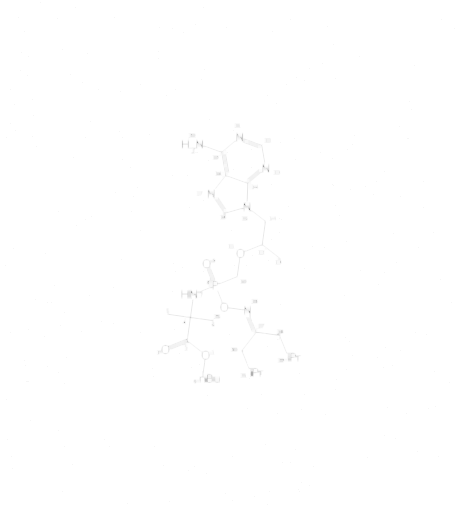 CCCCOC(=O)C(C)(C)NP(=O)(COC(C)Cn1cnc2c(N)ncnc21)ON=C(CC(C)C)CC(C)C